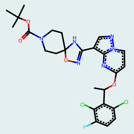 CC(Oc1ccn2ncc(C3=NOC4(CCN(C(=O)OC(C)(C)C)CC4)N3)c2n1)c1c(Cl)ccc(F)c1Cl